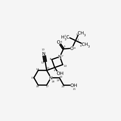 CC(C)(C)OC(=O)N1CC(O)(C2(C#N)CCCCN2CCO)C1